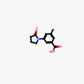 Cc1cc(C(=O)O)cc(N2CCCC2=O)c1